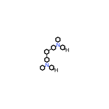 [3H]c1ccc(N(c2ccccc2)c2ccc(-c3cccc(-c4ccc(N(c5ccccc5)c5ccc([3H])cc5)cc4)c3)cc2)cc1